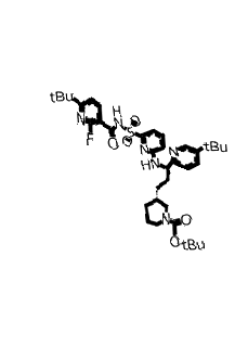 CC(C)(C)OC(=O)N1CCC[C@H](CCC(Nc2cccc(S(=O)(=O)NC(=O)c3ccc(C(C)(C)C)nc3F)n2)c2ccc(C(C)(C)C)cn2)C1